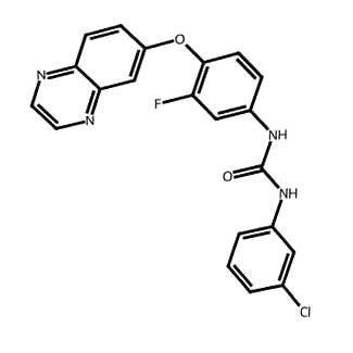 O=C(Nc1cccc(Cl)c1)Nc1ccc(Oc2ccc3nccnc3c2)c(F)c1